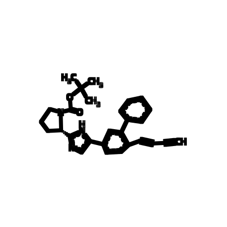 C#CC#Cc1ccc(-c2cnc([C@@H]3CCCN3C(=O)OC(C)(C)C)[nH]2)cc1-c1ccccc1